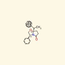 CC([C]12[CH]3[CH]4[CH]5[CH]1[Fe]45321678[CH]2[CH]1[CH]6[CH]7[CH]28)[C@@]12CCC(=O)N1[C@@H](c1ccccc1)CO2